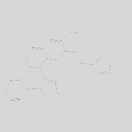 COc1cc2ncnc(-c3cn(C)nc3-c3ccccc3)c2nc1OC(C)c1cn(C)nn1